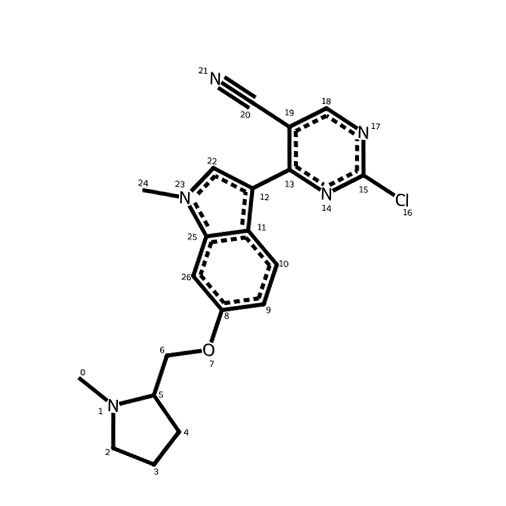 CN1CCCC1COc1ccc2c(-c3nc(Cl)ncc3C#N)cn(C)c2c1